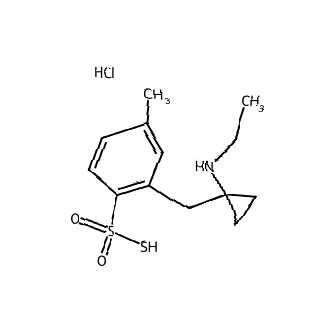 CCNC1(Cc2cc(C)ccc2S(=O)(=O)S)CC1.Cl